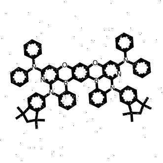 CC1(C)CC(C)(C)c2cc(N3c4ccccc4B4c5cc6c(cc5Oc5cc(N(c7ccccc7)c7ccccc7)nc3c54)Oc3cc(N(c4ccccc4)c4ccccc4)nc4c3B6c3ccccc3N4c3ccc4c(c3)C(C)(C)CC4(C)C)ccc21